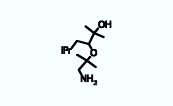 CC(C)CC(OC(C)(C)CN)C(C)(C)O